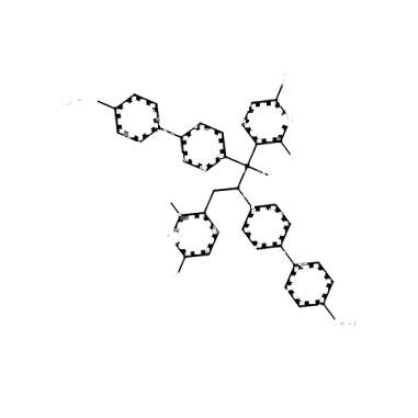 CCCCCc1ccc(-c2ccc(C(C)(c3ccc(F)nc3F)C(Cc3ccc(F)nc3F)c3ccc(-c4ccc(CCCC)cc4)cc3)cc2)cc1